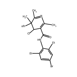 CCCC1(C)C(C)=NC(C)=C(C(=O)Nc2c(CC)cc(Br)cc2CC)C1Cl